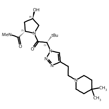 CNC(=O)[C@@H]1C[C@@H](O)CN1C(=O)[C@@H](n1cc(CCN2CCC(C)(C)CC2)nn1)C(C)(C)C